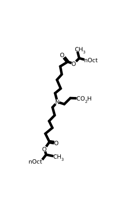 CCCCCCCCC(C)OC(=O)CCCCCN(CCCCCC(=O)OC(C)CCCCCCCC)CCC(=O)O